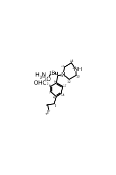 CC(C)(C)OC=O.FCCc1ccc(CN2CCNCC2)cc1.N